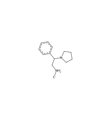 [CH2-][NH2+]CC(c1ccccc1)N1CCCC1